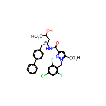 O=C(N[C@H](Cc1ccc(-c2ccccc2)cc1)CC(O)C(=O)O)c1cc(C(=O)O)n(Cc2c(F)cc(Cl)cc2F)n1